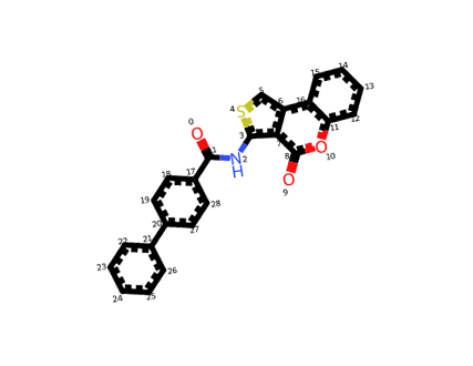 O=C(Nc1scc2c1c(=O)oc1ccccc12)c1ccc(-c2ccccc2)cc1